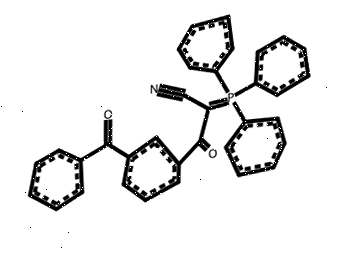 N#CC(C(=O)c1cccc(C(=O)c2ccccc2)c1)=P(c1ccccc1)(c1ccccc1)c1ccccc1